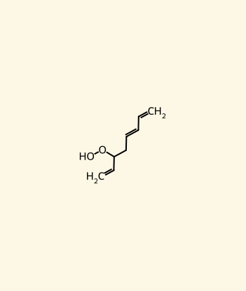 C=C/C=C/CC(C=C)OO